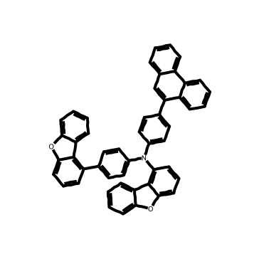 c1ccc2c(c1)cc(-c1ccc(N(c3ccc(-c4cccc5oc6ccccc6c45)cc3)c3cccc4oc5ccccc5c34)cc1)c1ccccc12